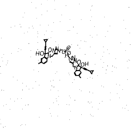 Cc1ccc2c(c1)C(O)(C#CC1CC1)C(=O)N2Cc1cn(CO[PH](=O)OCn2cc(CN3C(=O)C(O)(C#CC4CC4)c4cc(C)ccc43)nn2)nn1